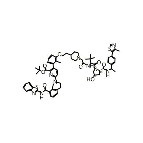 Cc1ncsc1-c1ccc(C(C)NC(=O)[C@@H]2C[C@@H](O)CN2C(=O)C(NC(=O)CN2CCC(CCOc3cccc(-c4ccc(N5CCc6cccc(C(=O)Nc7nc8ccccc8s7)c6C5)nc4C(=O)OC(C)(C)C)c3C)CC2)C(C)(C)C)cc1